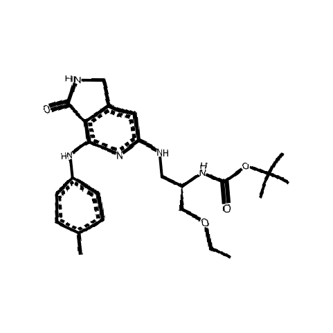 CCOC[C@@H](CNc1cc2c(c(Nc3ccc(C)cc3)n1)C(=O)NC2)NC(=O)OC(C)(C)C